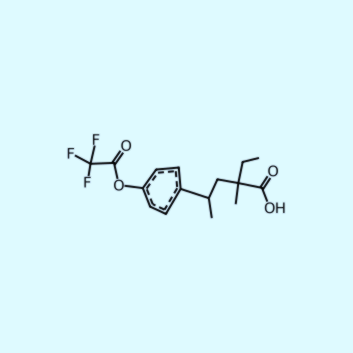 CCC(C)(CC(C)c1ccc(OC(=O)C(F)(F)F)cc1)C(=O)O